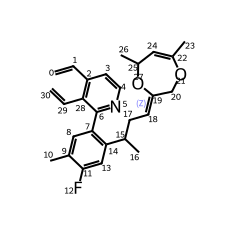 C=Cc1ccnc(-c2cc(C)c(F)cc2C(C)C/C=C2/COC(C)=CC(C)O2)c1C=C